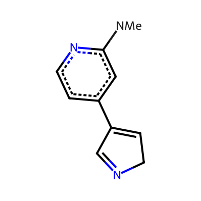 CNc1cc(C2=CCN=C2)ccn1